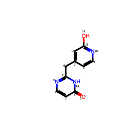 O=c1ccnc(Cc2ccnc(O)c2)[nH]1